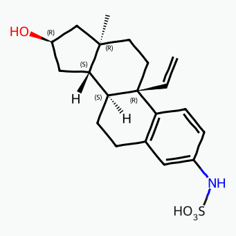 C=C[C@]12CC[C@]3(C)C[C@H](O)C[C@H]3[C@@H]1CCc1cc(NS(=O)(=O)O)ccc12